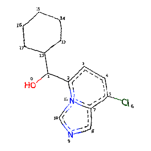 OC(c1ccc(Cl)c2cncn12)C1CCCCC1